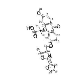 COc1ccc(C(=O)c2ccc(OCc3nc(-c4ccco4)oc3C)cc2)c(OC(C)(C)C(=O)O)c1